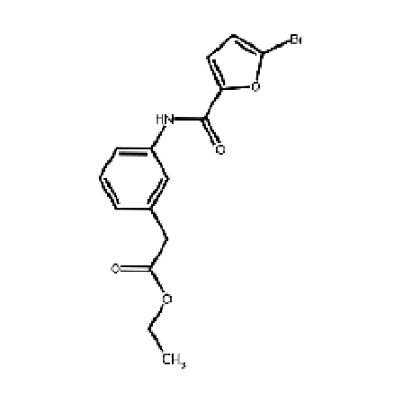 CCOC(=O)Cc1cccc(NC(=O)c2ccc(Br)o2)c1